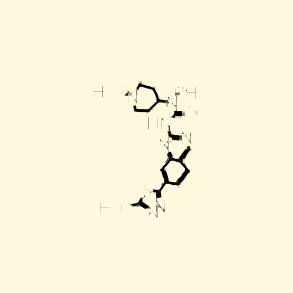 Cc1nnc(-c2ccc3cnc(NC(=O)N(C)C4CCN(C)CC4)nc3c2)s1